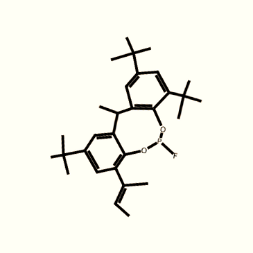 C/C=C(\C)c1cc(C(C)(C)C)cc2c1OP(F)Oc1c(cc(C(C)(C)C)cc1C(C)(C)C)C2C